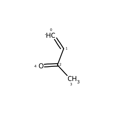 [CH]=CC(C)=O